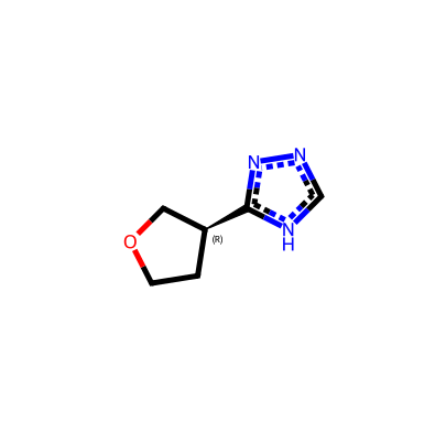 c1nnc([C@H]2CCOC2)[nH]1